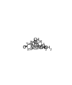 C=C[C@]1(O)CC[C@H]2[C@@H]3[C@H](C)CC4=CC(=O)CC[C@]4(C)[C@H]3CC[C@@]21C